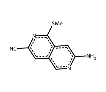 CSc1nc(C#N)cc2cnc(N)cc12